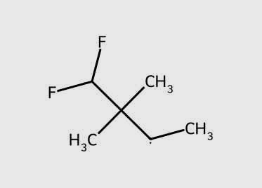 C[CH]C(C)(C)C(F)F